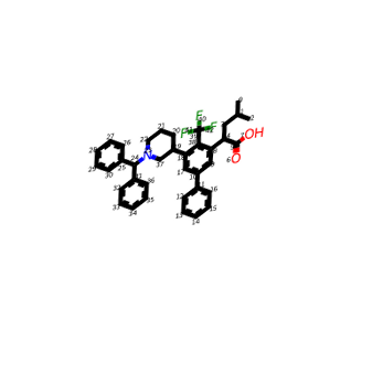 CC(C)CC(C(=O)O)c1cc(-c2ccccc2)cc(C2CCCN(C(c3ccccc3)c3ccccc3)C2)c1C(F)(F)F